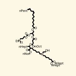 CCCCC/C=C\C/C=C\CCCCCCCC(=O)OCC(COC(=O)CCC(OCCCCCCCC)OC(CCCCCCC)C(CCCCCCN(CCO)CCCCCCC(OCCCCCCC)OCCCCCCC)C(=O)OCCCCCCCCC)COC(=O)OCCCN(CC)CC